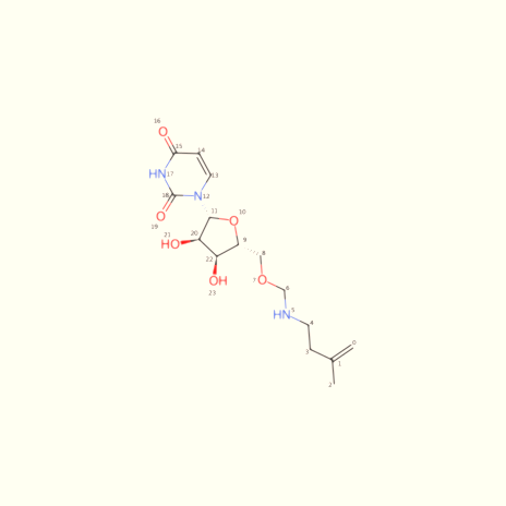 C=C(C)CCNCOC[C@H]1O[C@@H](n2ccc(=O)[nH]c2=O)[C@H](O)[C@@H]1O